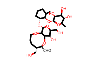 CC1O[C@@H](O[C@@H]2C(C)CCC[C@H]2O[C@@H]2OC(CO)[C@H](O)C3O[C@@H](C=O)[C@H](CO)CCCOC32)[C@@H](O)C(O)[C@@H]1O